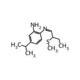 CCC(/C=N\c1ccc(C(C)C)cc1N)SC